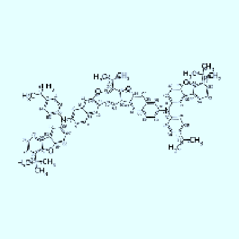 CC(C)c1ccc(N(c2ccc3cc4c(cc3c2)oc2c(C(C)C)c3oc5cc6cc(N(c7ccc(C(C)C)cc7)c7ccc8oc9c(C(C)(C)C)cccc9c8c7)ccc6cc5c3cc24)c2ccc3oc4c(C(C)(C)C)cccc4c3c2)cc1